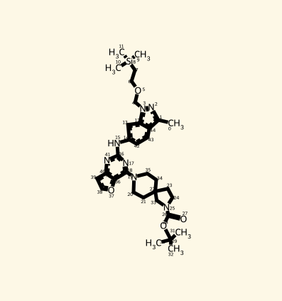 Cc1nn(COCC[Si](C)(C)C)c2cc(Nc3nc(N4CCC5(CCN(C(=O)OC(C)(C)C)C5)CC4)c4occc4n3)ccc12